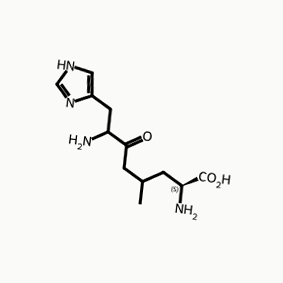 CC(CC(=O)C(N)Cc1c[nH]cn1)C[C@H](N)C(=O)O